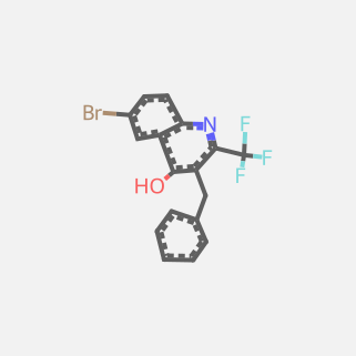 Oc1c(Cc2ccccc2)c(C(F)(F)F)nc2ccc(Br)cc12